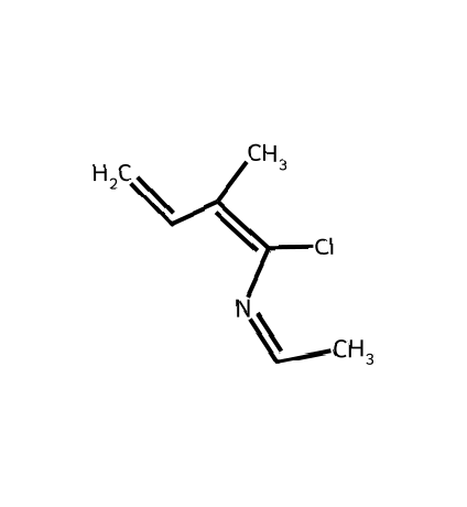 C=C/C(C)=C(Cl)\N=C/C